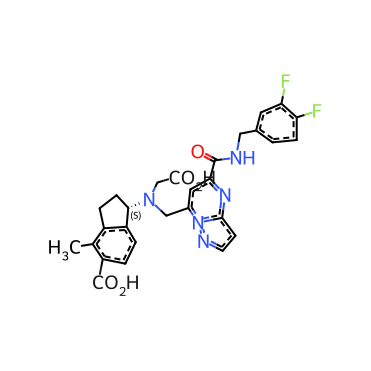 Cc1c(C(=O)O)ccc2c1CC[C@@H]2N(CC(=O)O)Cc1cc(C(=O)NCc2ccc(F)c(F)c2)nc2ccnn12